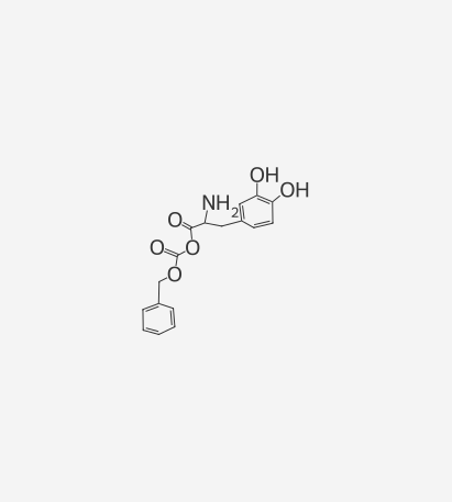 NC(Cc1ccc(O)c(O)c1)C(=O)OC(=O)OCc1ccccc1